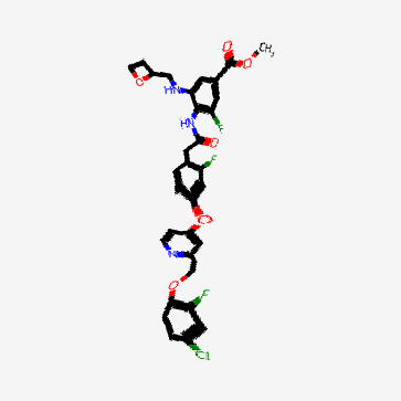 COC(=O)c1cc(F)c(NC(=O)Cc2ccc(Oc3ccnc(COc4ccc(Cl)cc4F)c3)cc2F)c(NCC2CCO2)c1